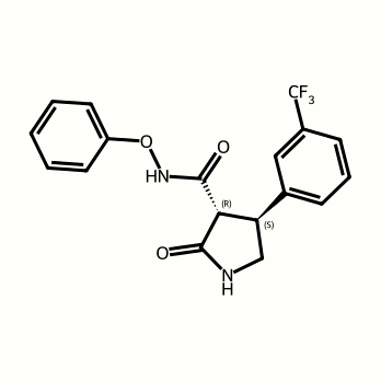 O=C1NC[C@H](c2cccc(C(F)(F)F)c2)[C@H]1C(=O)NOc1ccccc1